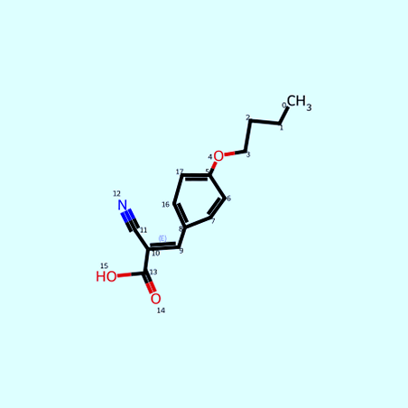 CCCCOc1ccc(/C=C(\C#N)C(=O)O)cc1